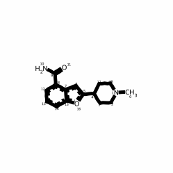 CN1CCC(c2cc3c(C(N)=O)cccc3o2)CC1